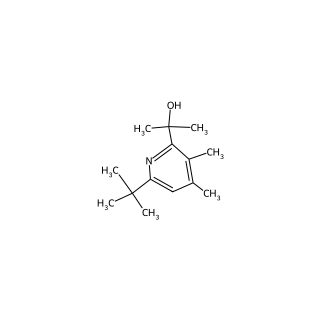 Cc1cc(C(C)(C)C)nc(C(C)(C)O)c1C